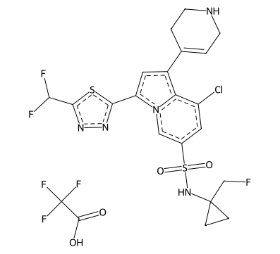 O=C(O)C(F)(F)F.O=S(=O)(NC1(CF)CC1)c1cc(Cl)c2c(C3=CCNCC3)cc(-c3nnc(C(F)F)s3)n2c1